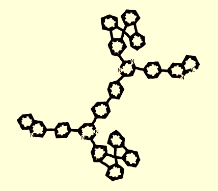 c1ccc2c(c1)-c1ccccc1C21c2ccccc2-c2ccc(-c3nc(-c4ccc(-c5ccc(-c6cc(-c7ccc(-c8cnc9ccccc9c8)cc7)nc(-c7ccc8c(c7)C7(c9ccccc9-c9ccccc97)c7ccccc7-8)n6)cc5)cc4)cc(-c4ccc(-c5cnc6ccccc6c5)cc4)n3)cc21